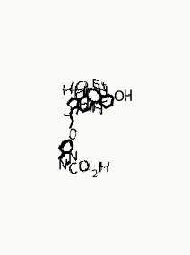 CC[C@H]1[C@@H](O)[C@@H]2[C@H](CC[C@]3(C)[C@@H]([C@H](C)CCOc4ccc5cnc(C(=O)O)nc5c4)CC[C@@H]23)[C@@]2(C)CC[C@@H](O)C[C@@H]12